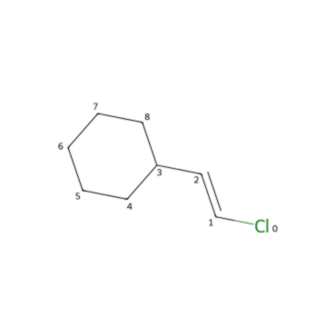 ClC=CC1CCCCC1